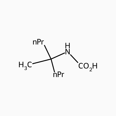 CCCC(C)(CCC)NC(=O)O